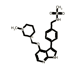 CN1CCC[C@@H](COc2ccnc3[nH]cc(-c4ccc(CNS(C)(=O)=O)cc4)c23)C1